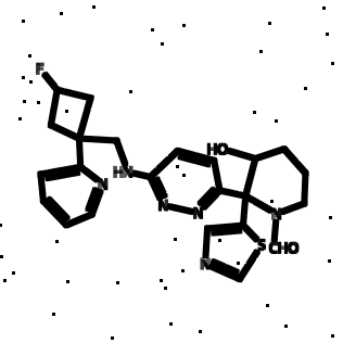 O=CN1CCCC(O)C1(c1ccc(NCC2(c3ccccn3)CC(F)C2)nn1)c1cncs1